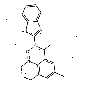 Cc1cc2c(c(C(C)[S+]([O-])c3nc4ccccc4[nH]3)c1)NCCC2